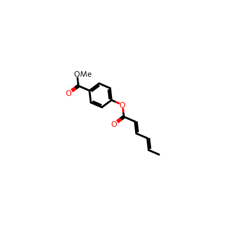 C/C=C/C=C/C(=O)Oc1ccc(C(=O)OC)cc1